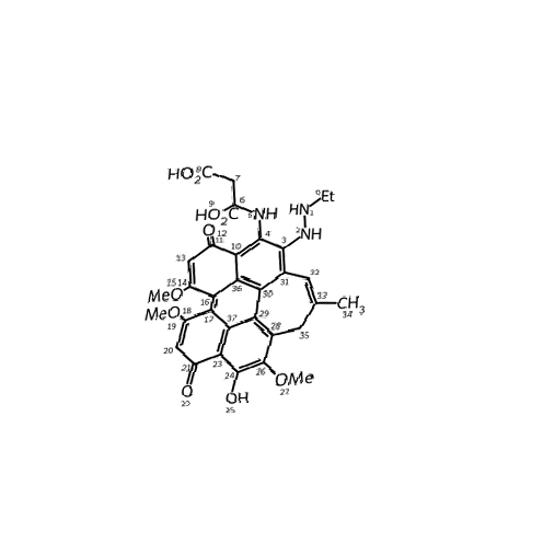 CCNNc1c(NC(CC(=O)O)C(=O)O)c2c(=O)cc(OC)c3c4c(OC)cc(=O)c5c(O)c(OC)c6c(c(c1C=C(C)C6)c23)c54